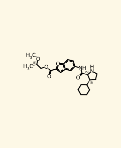 CO[C@@H](C)COC(=O)c1cc2cc(NC(=O)[C@H]3NCC[C@H]3C3CCCCC3)ccc2o1